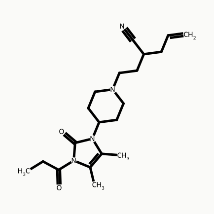 C=CCC(C#N)CCN1CCC(n2c(C)c(C)n(C(=O)CC)c2=O)CC1